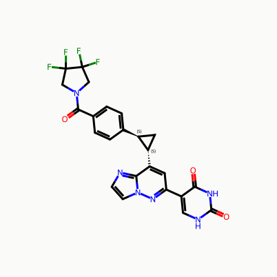 O=C(c1ccc([C@H]2C[C@@H]2c2cc(-c3c[nH]c(=O)[nH]c3=O)nn3ccnc23)cc1)N1CC(F)(F)C(F)(F)C1